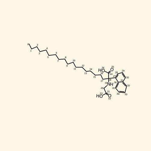 CCCCCCCCCCCCCCCCCCC(NCC(=O)O)(C(=O)O)c1cccc2ccccc12